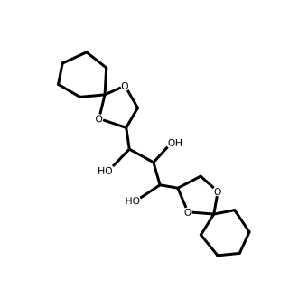 OC(C1COC2(CCCCC2)O1)C(O)C(O)C1COC2(CCCCC2)O1